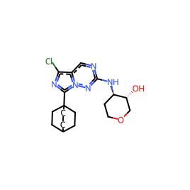 O[C@@H]1COCC[C@H]1Nc1ncc2c(Cl)nc(C34CCC(CC3)CC4)n2n1